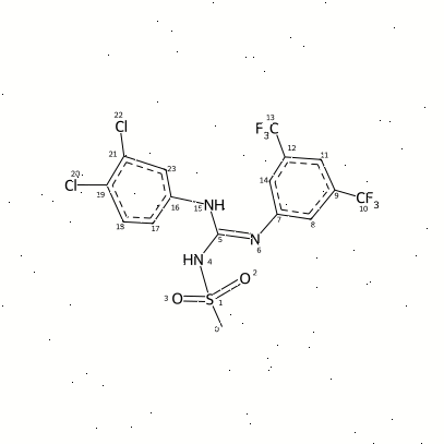 CS(=O)(=O)NC(=Nc1cc(C(F)(F)F)cc(C(F)(F)F)c1)Nc1ccc(Cl)c(Cl)c1